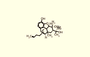 C=CCCN1CC[C@]23c4c5ccc(O)c4O[C@H]2[C@](C)(OC)[C@@H]([C@](C)(O)C(C)(C)C)C[C@]3(C)[C@H]1C5